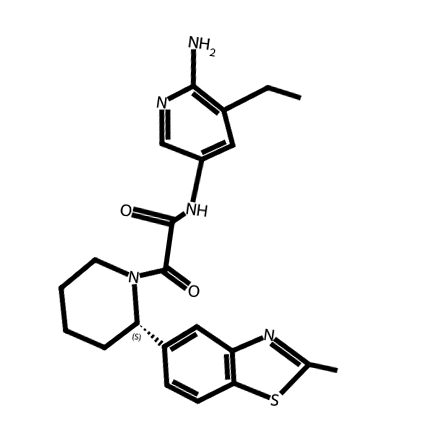 CCc1cc(NC(=O)C(=O)N2CCCC[C@H]2c2ccc3sc(C)nc3c2)cnc1N